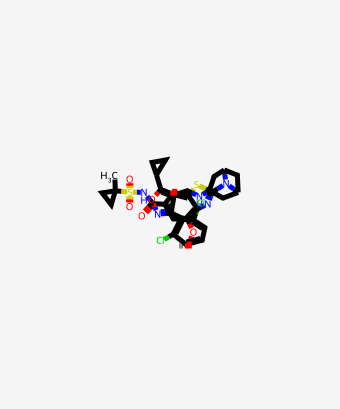 CC(C)Oc1cc(C(=O)NS(=O)(=O)C2(C)CC2)cc2sc(N3C4CC(NCc5c(-c6c(Cl)cccc6Cl)noc5C5CC5)CC3C4)nc12